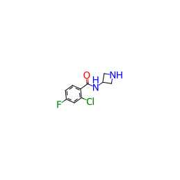 O=C(NC1CNC1)c1ccc(F)cc1Cl